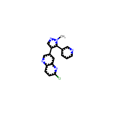 Cn1ncc(-c2cnc3ccc(Cl)nc3c2)c1-c1cccnc1